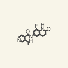 CCc1cnccc1C(=O)Nc1cc(F)c2c(c1)CCC(=O)N2